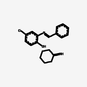 N=C1CCCCC1.Oc1ccc(Cl)cc1N=Cc1ccccc1